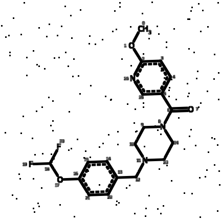 COc1ccc(C(=O)N2CCN(Cc3ccc(OC(F)F)cc3)CC2)cn1